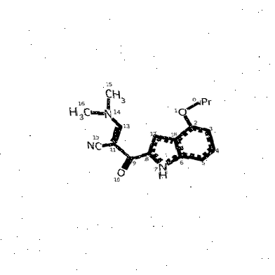 CC(C)Oc1cccc2[nH]c(C(=O)C(C#N)=CN(C)C)cc12